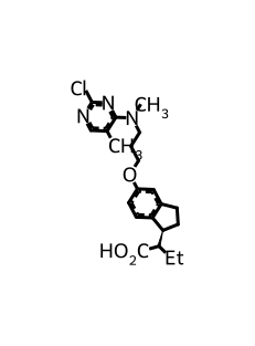 CCC(C(=O)O)[C@@H]1CCc2cc(OCCCN(C)c3nc(Cl)ncc3C)ccc21